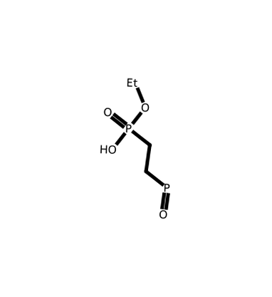 CCOP(=O)(O)CCP=O